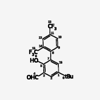 CC(C)(C)c1cc(C=O)c(O)c(-c2ccc(C(F)(F)F)cc2C(F)(F)F)c1